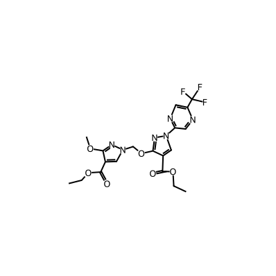 CCOC(=O)c1cn(COc2nn(-c3cnc(C(F)(F)F)cn3)cc2C(=O)OCC)nc1OC